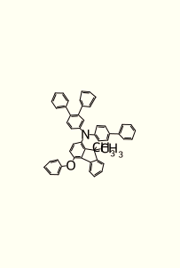 CC1(C)c2ccccc2-c2c(Oc3ccccc3)ccc(N(c3ccc(-c4ccccc4)cc3)c3ccc(-c4ccccc4)c(-c4ccccc4)c3)c21